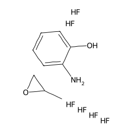 CC1CO1.F.F.F.F.F.F.Nc1ccccc1O